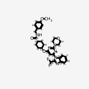 COc1ccc(CNC(=O)[C@H]2CC[C@H](Oc3cc(-n4c(C(F)F)nc5ccccc54)nc(N4CCOCC4)n3)CC2)cc1